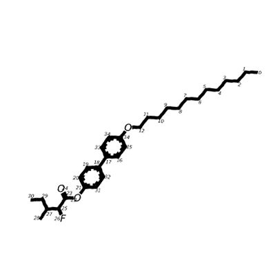 CCCCCCCCCCCCCOc1ccc(-c2ccc(OC(=O)C(F)C(C)CC)cc2)cc1